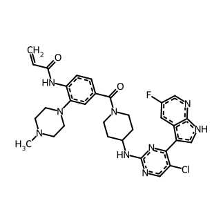 C=CC(=O)Nc1ccc(C(=O)N2CCC(Nc3ncc(Cl)c(-c4c[nH]c5ncc(F)cc45)n3)CC2)cc1N1CCN(C)CC1